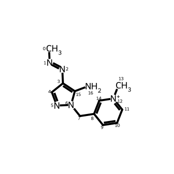 C/N=N/c1cnn(Cc2ccc[n+](C)c2)c1N